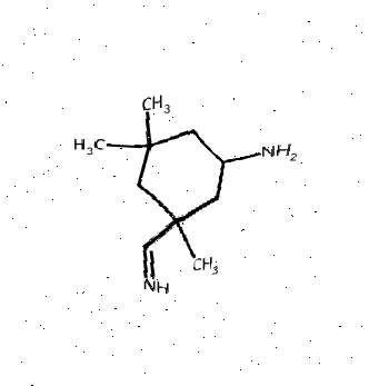 CC1(C)CC(N)CC(C)(C=N)C1